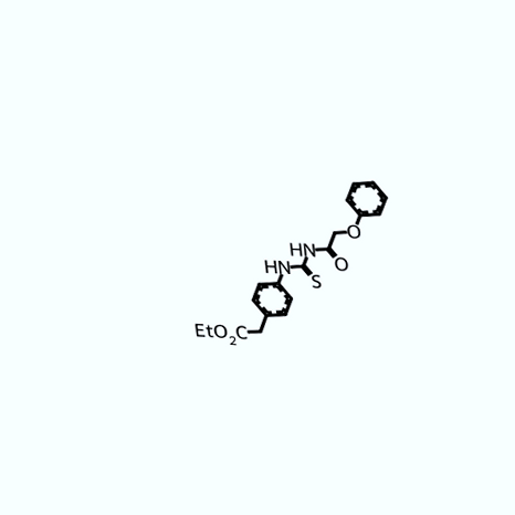 CCOC(=O)Cc1ccc(NC(=S)NC(=O)COc2ccccc2)cc1